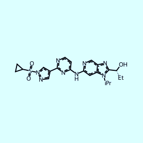 CC[C@@H](O)c1nc2cnc(Nc3ccnc(-c4cnn(S(=O)(=O)C5CC5)c4)n3)cc2n1C(C)C